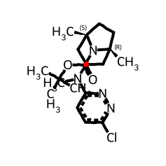 CN(c1ccc(Cl)nn1)C1C[C@]2(C)CC[C@](C)(C1)N2C(=O)OC(C)(C)C